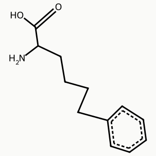 NC(CCCCc1ccccc1)C(=O)O